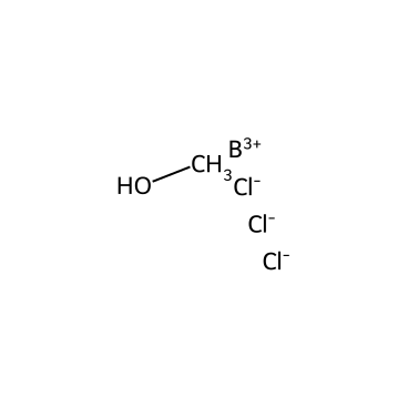 CO.[B+3].[Cl-].[Cl-].[Cl-]